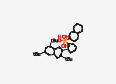 CC(C)(C)c1cc(C(C)(C)C)c2cc(-c3ccccc3P(O)(O)(O)c3ccc4ccccc4c3)c(C(C)(C)C)cc2c1